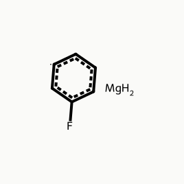 Fc1c[c]ccc1.[MgH2]